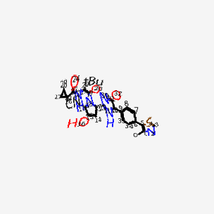 Cc1ncsc1-c1ccc(C2NC([C@@H]3C[C@@H](O)CN3C(=O)C(NC(=O)C3(C#N)CC3)C(C)(C)C)=NC2=O)cc1